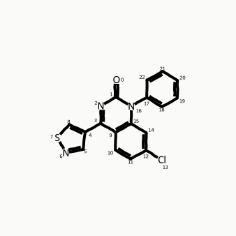 O=c1nc(-c2cnsc2)c2ccc(Cl)cc2n1-c1ccccc1